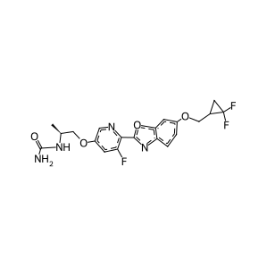 C[C@@H](COc1cnc(-c2nc3ccc(OCC4CC4(F)F)cc3o2)c(F)c1)NC(N)=O